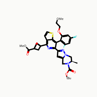 COCCOc1cc(F)cc(F)c1-c1c(-c2cc3n(n2)C[C@@H](C)N(C(=O)OC(C)(C)C)C3)nc(C23CC(C(=O)OC)(C2)C3)c2ccsc12